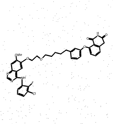 COc1cc2ncnc(Nc3cccc(Cl)c3F)c2cc1OCCOCCCCCc1cccc(Oc2cccc3c2C(=O)NC(=O)C3)c1